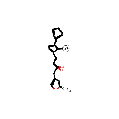 Cc1cc(CC(=O)CCC2=CC=C(c3ccccc3)C2C)co1